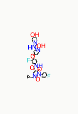 O=C(Nc1ccc(Oc2ccnc(NC(O)N3CCC(O)CC3)c2)c(F)c1)c1cn(CC2CC2)c(=O)n(-c2ccc(F)cc2)c1=O